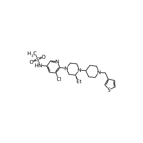 CC[C@H]1CN(c2ncc(NS(C)(=O)=O)cc2Cl)CCN1C1CCN(Cc2ccsc2)CC1